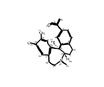 CC(=O)c1ccc2c(c1)[C@@H]1c3cc(O)c(Cl)cc3CCN(C)[C@H]1CC2